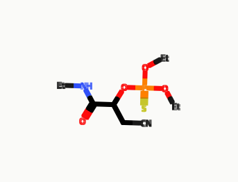 CCNC(=O)C(CC#N)OP(=S)(OCC)OCC